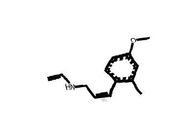 C=CNC/C=C\c1ccc(OC)cc1C